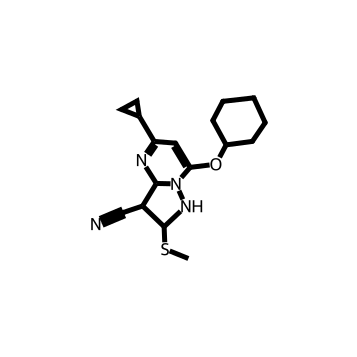 CSC1NN2C(OC3CCCCC3)=CC(C3CC3)=NC2C1C#N